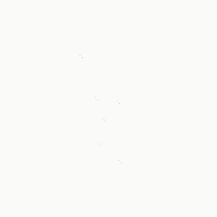 N/C(=C1\Nc2ccccc2O1)c1ccnc(NCCCN2CCCCC2=O)n1